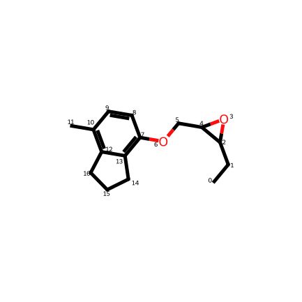 CCC1OC1COc1ccc(C)c2c1CCC2